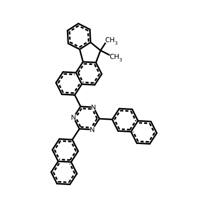 CC1(C)c2ccccc2-c2c1ccc1c(-c3nc(-c4ccc5ccccc5c4)nc(-c4ccc5ccccc5c4)n3)cccc21